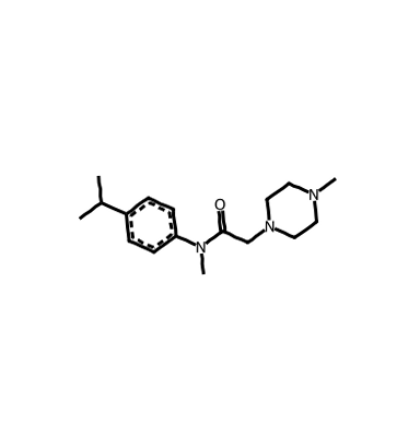 CC(C)c1ccc(N(C)C(=O)CN2CCN(C)CC2)cc1